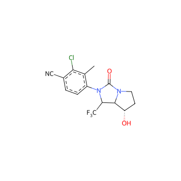 Cc1c(N2C(=O)N3CC[C@H](O)C3C2C(F)(F)F)ccc(C#N)c1Cl